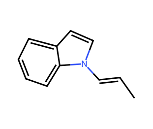 CC=Cn1ccc2ccccc21